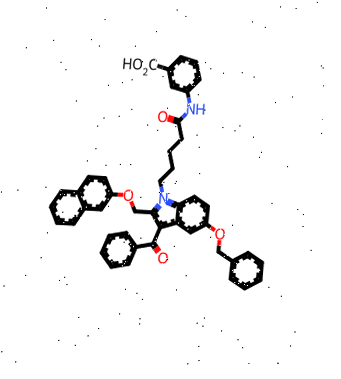 O=C(CCCCn1c(COc2ccc3ccccc3c2)c(C(=O)c2ccccc2)c2cc(OCc3ccccc3)ccc21)Nc1cccc(C(=O)O)c1